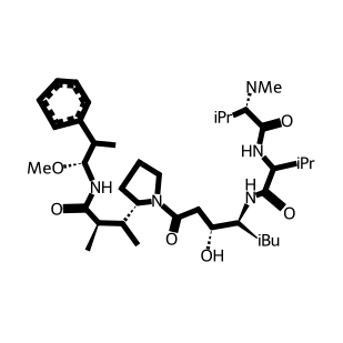 CC[C@H](C)[C@H](NC(=O)C(NC(=O)[C@@H](NC)C(C)C)C(C)C)[C@H](O)CC(=O)N1CCC[C@H]1C(C)[C@@H](C)C(=O)N[C@H](OC)C(C)c1ccccc1